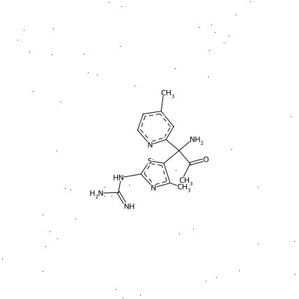 CC(=O)C(N)(c1cc(C)ccn1)c1sc(NC(=N)N)nc1C